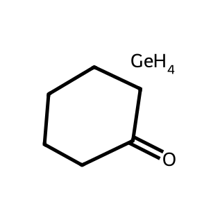 O=C1CCCCC1.[GeH4]